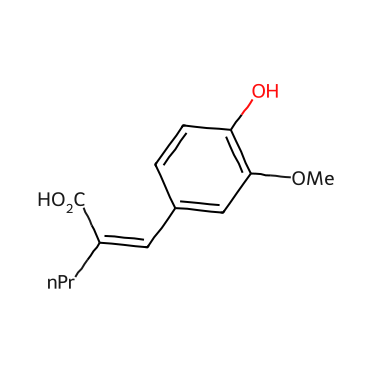 CCCC(=Cc1ccc(O)c(OC)c1)C(=O)O